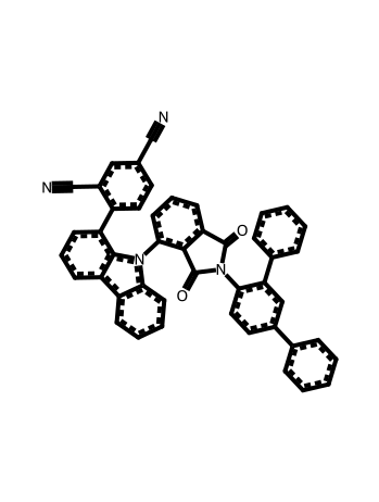 N#Cc1ccc(-c2cccc3c4ccccc4n(-c4cccc5c4C(=O)N(c4ccc(-c6ccccc6)cc4-c4ccccc4)C5=O)c23)c(C#N)c1